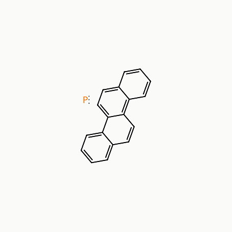 [P].c1ccc2c(c1)ccc1c3ccccc3ccc21